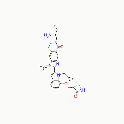 Cn1c(-c2cc3cccc(OCC4CCNC4=O)c3n2CC2CC2)nc2cc3c(cc21)CCN(C[C@H](N)CF)C3=O